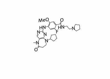 COc1cc(C(=O)NCCN2CCCC2)c(F)cc1Nc1ncc2c(n1)N(C1CCCC1)CCC(=O)N2C